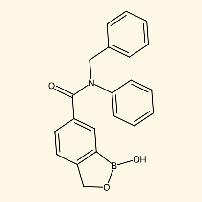 O=C(c1ccc2c(c1)B(O)OC2)N(Cc1ccccc1)c1ccccc1